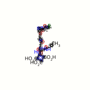 Cc1ccc(CCCC(=O)NCCSCC(NC(=O)CN2CCN(CC(=O)O)CCN(CC(=O)O)CCN(CC(=O)O)CC2)C(=O)NCCCCCC(=O)N2CCC(CCCOc3ccc4nccc(C(=O)NCC(=O)N5CC(F)(F)C[C@@H]5C#N)c4c3)CC2)cc1